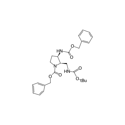 CC(C)(C)OC(=O)NC[C@@H]1[C@H](NC(=O)OCc2ccccc2)CCN1C(=O)OCc1ccccc1